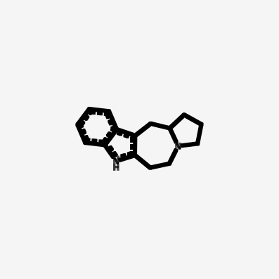 c1ccc2c3c([nH]c2c1)CCN1CCCC1C3